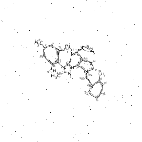 Cc1cc(C)c(-c2c(C)nn3c2nc(C)c2ccn(Cc4ccccc4C)c23)c(C)c1